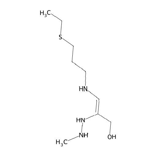 CCSCCCN/C=C(/CO)NNC